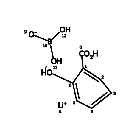 O=C(O)c1ccccc1O.[Li+].[O-]B(O)O